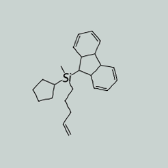 C=CCCC[Si](C)(C1CCCC1)C1C2C=CC=CC2C2C=CC=CC21